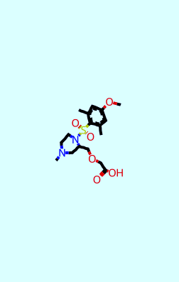 COc1cc(C)c(S(=O)(=O)N2CCN(C)CC2COCC(=O)O)c(C)c1